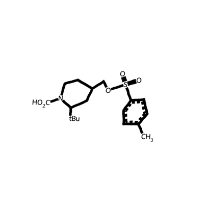 Cc1ccc(S(=O)(=O)OCC2CCN(C(=O)O)C(C(C)(C)C)C2)cc1